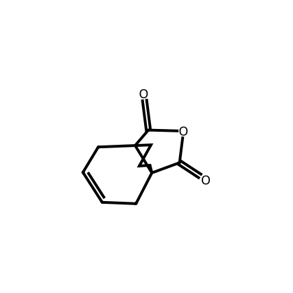 O=C1OC(=O)C23CC=CCC12CCC3